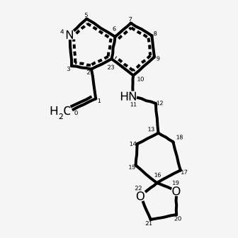 C=Cc1cncc2cccc(NCC3CCC4(CC3)OCCO4)c12